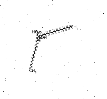 CCCCCCCCCCCCCCCCCCCCC(CCCCCCCCCCCCCCCCCCCC)(CC(=O)O)C(=O)O